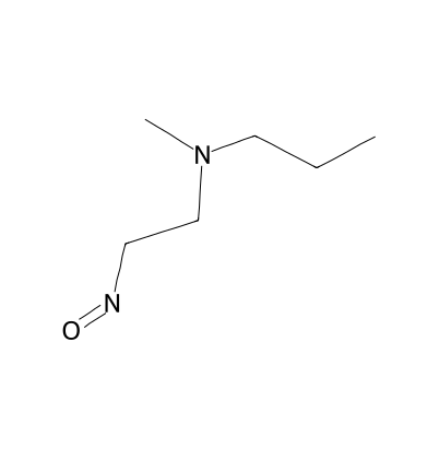 CCCN(C)CCN=O